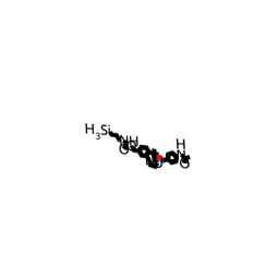 CC(=O)Nc1ccc(/C=C/C23OCCN2c2cc(COC(=O)NCCC[SiH3])ccc2C3(C)C)cc1